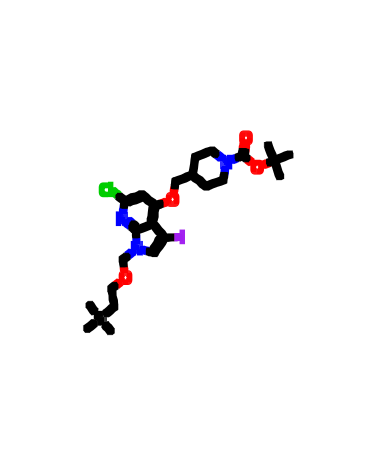 CC(C)(C)OC(=O)N1CCC(COc2cc(Cl)nc3c2c(I)cn3COCC[Si](C)(C)C)CC1